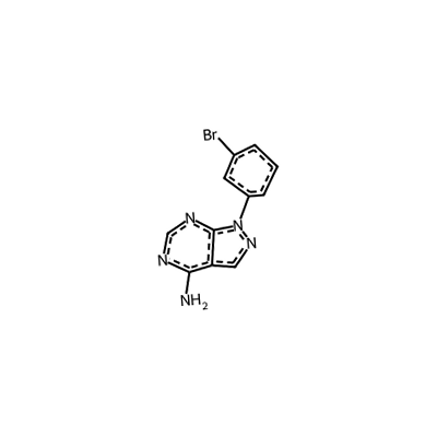 Nc1ncnc2c1cnn2-c1cccc(Br)c1